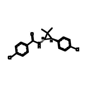 CC1(C)[C@@H](NC(=O)c2ccc(Cl)cc2)[C@@H]1c1ccc(Cl)cc1